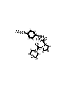 COc1ccc(NNC(=O)C2CCCN2C(=O)N2CCOCC2)cc1